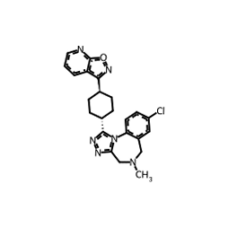 CN1Cc2cc(Cl)ccc2-n2c(nnc2[C@H]2CC[C@H](c3noc4ncccc43)CC2)C1